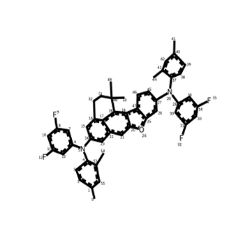 Cc1ccc(N(c2cc(F)cc(F)c2)c2cc3c4c(c5c(cc4c2)oc2cc(N(c4cc(F)cc(F)c4)c4ccc(C)cc4C)ccc25)C(C)(C)CC3)c(C)c1